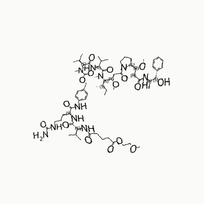 CC[C@H](C)[C@@H]([C@@H](CC(=O)N1CCC[C@H]1[C@H](OC)[C@@H](C)C(=O)N[C@H](C)[C@@H](O)c1ccccc1)OC)N(C)C(=O)[C@@H](NC(=O)[C@H](C(C)C)N(C)C(=O)OCc1ccc(NC(=O)[C@H](CCCNC(N)=O)NC(=O)[C@@H](NC(=O)CCCC(=O)OCCOC)C(C)C)cc1)C(C)C